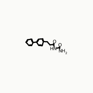 NC(=O)NC(=O)[CH]Cc1ccc(-c2ccccc2)cc1